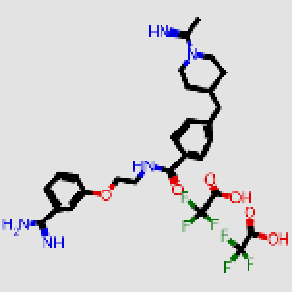 CC(=N)N1CCC(Cc2ccc(C(=O)NCCOc3cccc(C(=N)N)c3)cc2)CC1.O=C(O)C(F)(F)F.O=C(O)C(F)(F)F